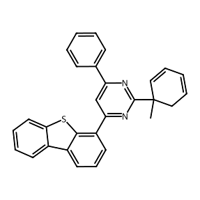 CC1(c2nc(-c3ccccc3)cc(-c3cccc4c3sc3ccccc34)n2)C=CC=CC1